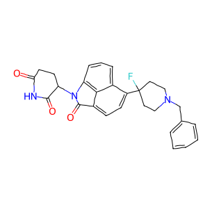 O=C1CCC(N2C(=O)c3ccc(C4(F)CCN(Cc5ccccc5)CC4)c4cccc2c34)C(=O)N1